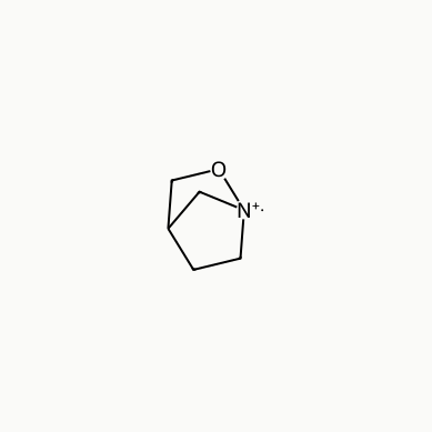 C1C[N+]2CC1CO2